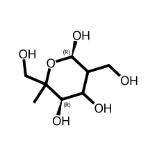 CC1(CO)O[C@@H](O)C(CO)C(O)[C@H]1O